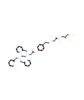 O=C(CNCCc1ccc(NC(=O)CN(CCN(Cc2ccccn2)Cc2ccccn2)Cc2ccccn2)cc1)NCC(O)CO